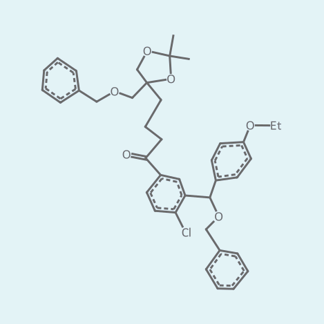 CCOc1ccc(C(OCc2ccccc2)c2cc(C(=O)CCCC3(COCc4ccccc4)COC(C)(C)O3)ccc2Cl)cc1